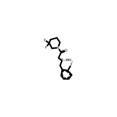 N[C@@H](CC(=O)N1CCCC(F)(F)C1)Cc1ccccc1F